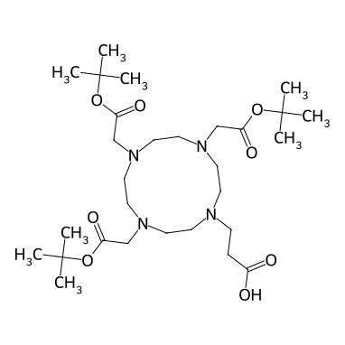 CC(C)(C)OC(=O)CN1CCN(CCC(=O)O)CCN(CC(=O)OC(C)(C)C)CCN(CC(=O)OC(C)(C)C)CC1